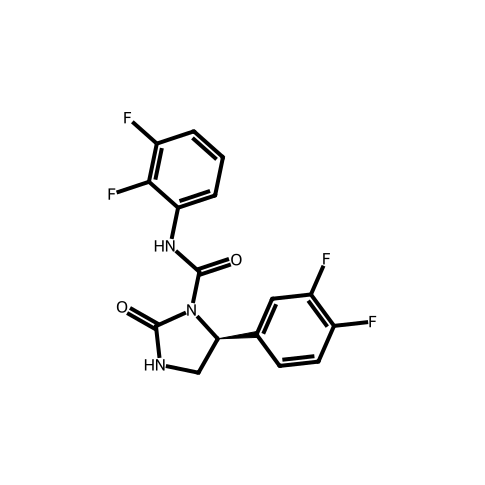 O=C1NC[C@H](c2ccc(F)c(F)c2)N1C(=O)Nc1cccc(F)c1F